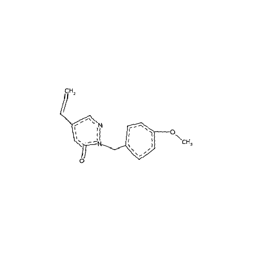 C=Cc1cnn(Cc2ccc(OC)cc2)c(=O)c1